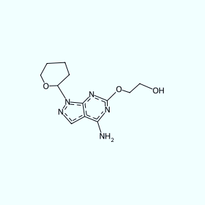 Nc1nc(OCCO)nc2c1cnn2C1CCCCO1